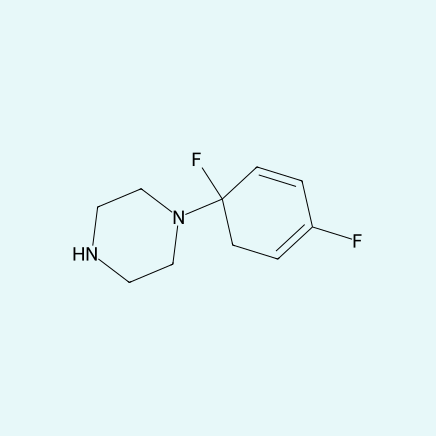 FC1=CCC(F)(N2CCNCC2)C=C1